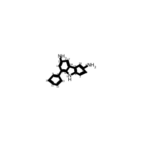 Nc1ccc2[nH]c3c(-c4ccccc4)cc(N)cc3c2c1